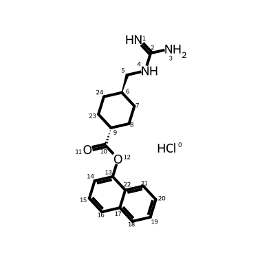 Cl.N=C(N)NC[C@H]1CC[C@H](C(=O)Oc2cccc3ccccc23)CC1